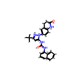 CC(C)(C)c1cc(NC(=O)Nc2cccc3ccccc23)n(-c2ccc3c(c2)CCC(=O)N3)n1